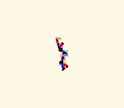 CC1CC1CN(C(=O)OC(C)(C)C)c1cc(-c2nc(C(=O)Nc3cn(-c4ccc(CN(CCOCCO)C(=O)OC(C)(C)C)cc4)nc3C(F)F)co2)ccn1